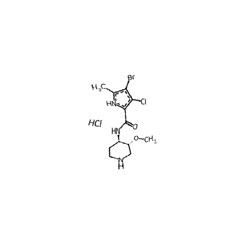 CO[C@@H]1CNCC[C@H]1NC(=O)c1[nH]c(C)c(Br)c1Cl.Cl